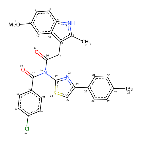 COc1ccc2[nH]c(C)c(CC(=O)N(C(=O)c3ccc(Cl)cc3)c3nc(-c4ccc(C(C)(C)C)cc4)cs3)c2c1